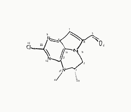 C[C@H]1Cn2c(C=O)cc3nc(Cl)nc(c32)N1C